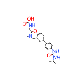 CC(C)NC(=O)Nc1ccc(-c2cccc(CN(C)C(=O)CNC(=O)O)c2)cc1